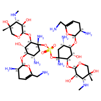 CN[C@@H]1[C@@H](O)[C@@H](O[C@@H]2[C@@H](O)[C@H](O[C@H]3OC(CN)=CC[C@H]3N)[C@@H](N)C[C@@]2(N)OS(=O)(=O)O[C@]2(N)C[C@H](N)[C@@H](O[C@H]3OC(CN)=CC[C@H]3N)[C@H](O)[C@H]2O[C@H]2OC[C@](C)(O)[C@H](NC)[C@H]2O)OC[C@]1(C)O